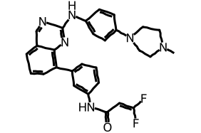 CN1CCN(c2ccc(Nc3ncc4cccc(-c5cccc(NC(=O)C=C(F)F)c5)c4n3)cc2)CC1